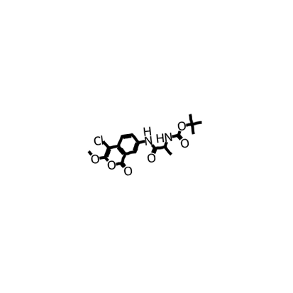 COc1oc(=O)c2cc(NC(=O)C(C)NC(=O)OC(C)(C)C)ccc2c1Cl